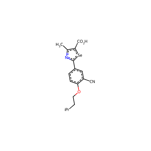 Cc1nc(-c2ccc(OCCC(C)C)c(C#N)c2)[se]c1C(=O)O